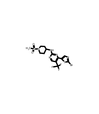 CS(=O)(=O)N1CCC(Nc2ncc(C(F)(F)F)c(-c3cnc(Br)s3)n2)CC1